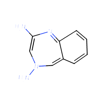 NC1=CN(N)C=c2ccccc2=N1